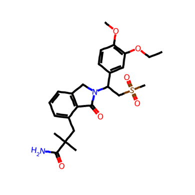 CCOc1cc(C(CS(C)(=O)=O)N2Cc3cccc(CC(C)(C)C(N)=O)c3C2=O)ccc1OC